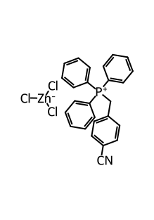 N#Cc1ccc(C[P+](c2ccccc2)(c2ccccc2)c2ccccc2)cc1.[Cl][Zn-]([Cl])[Cl]